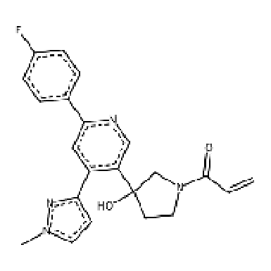 C=CC(=O)N1CCC(O)(c2cnc(-c3ccc(F)cc3)cc2-c2ccn(C)n2)C1